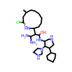 CC1CCCCCCC(C(C(N)N)C(O)NC2CNCC(C3CCCCC3)C2N2CCNC2)NCC(Cl)C1